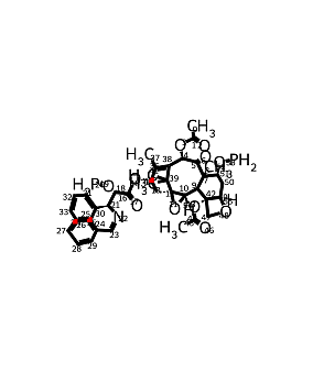 CC(=O)O[C@H]1C(=O)[C@@]2(C)C([C@@H]3O[C@]34C[C@H](OC(=O)[C@H](OP)[C@@H](/N=C\c3ccccc3)c3ccccc3)C(C)=C1C4(C)C)[C@]1(OC(C)=O)CO[C@@H]1C[C@@H]2OP